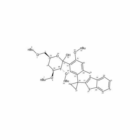 CCCCOC[C@@H]1C[C@H](OCCCC)[C@@H](OCCCC)C(O)(c2cc(C3(c4cc5ccccc5s4)CC3)c(C)cc2OCCCC)O1